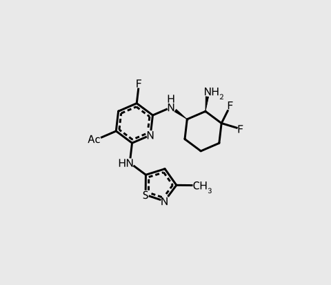 CC(=O)c1cc(F)c(N[C@@H]2CCCC(F)(F)[C@@H]2N)nc1Nc1cc(C)ns1